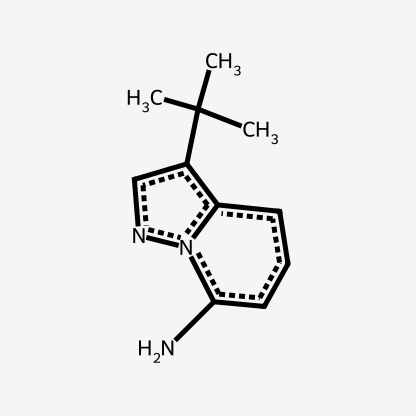 CC(C)(C)c1cnn2c(N)cccc12